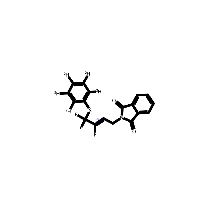 [2H]c1c([2H])c([2H])c(SC(F)(F)/C(F)=C/CN2C(=O)c3ccccc3C2=O)c([2H])c1[2H]